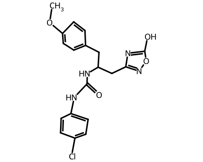 COc1ccc(CC(Cc2noc(O)n2)NC(=O)Nc2ccc(Cl)cc2)cc1